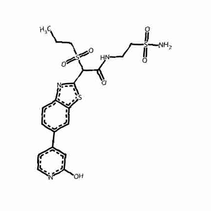 CCCS(=O)(=O)C(C(=O)NCCS(N)(=O)=O)c1nc2ccc(-c3ccnc(O)c3)cc2s1